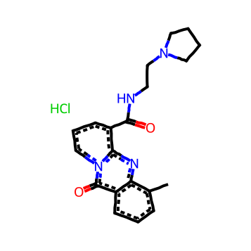 Cc1cccc2c(=O)n3cccc(C(=O)NCCN4CCCC4)c3nc12.Cl